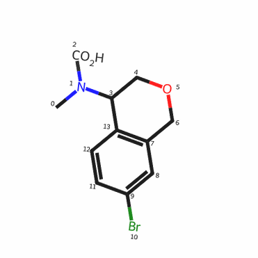 CN(C(=O)O)C1COCc2cc(Br)ccc21